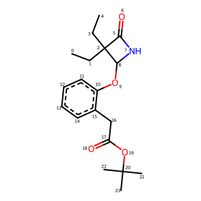 CCC1(CC)C(=O)NC1Oc1ccccc1CC(=O)OC(C)(C)C